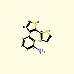 Nc1ccccc1.c1csc(-c2cccs2)c1